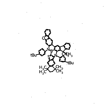 CC(C)(C)c1ccc(N2B3c4sc5cc6c(cc5c4N(c4ccc(C(C)(C)C)cc4)c4c3c(cc3c4C(C)(C)c4ccccc4-3)-c3cc4c(cc32)oc2ccccc24)C(C)(C)CCC6(C)C)cc1